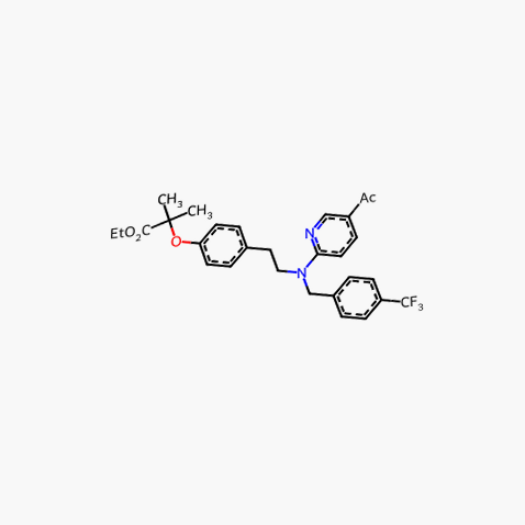 CCOC(=O)C(C)(C)Oc1ccc(CCN(Cc2ccc(C(F)(F)F)cc2)c2ccc(C(C)=O)cn2)cc1